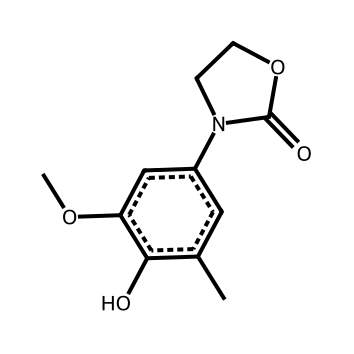 COc1cc(N2CCOC2=O)cc(C)c1O